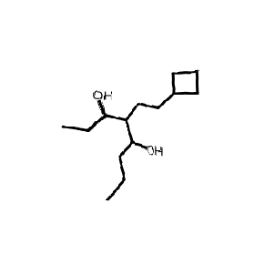 CCCC(O)C(CCC1CCC1)C(O)CC